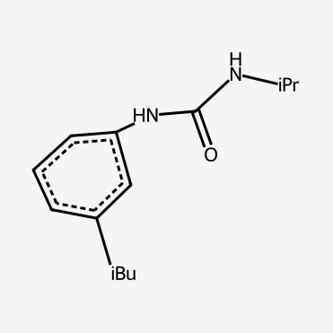 CCC(C)c1cccc(NC(=O)NC(C)C)c1